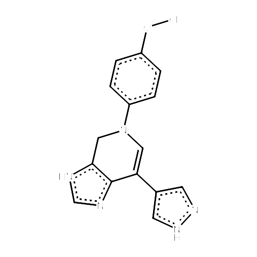 FC(F)(F)Oc1ccc(N2C=C(c3cn[nH]c3)c3nc[nH]c3C2)cc1